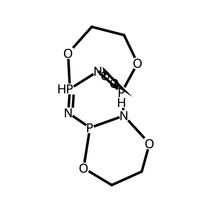 C1COP2N=[PH]3OCCO[PH]4(OCCON34)N2O1